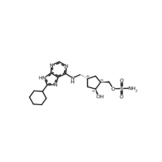 NS(=O)(=O)OC[C@@H]1C[C@@H](CNc2ncnc3[nH]c(C4CCCCC4)nc23)C[C@@H]1O